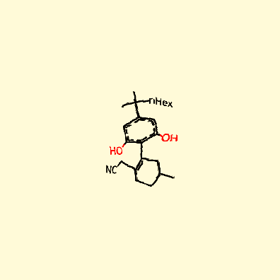 CCCCCCC(C)(C)c1cc(O)c(C2=C(CC#N)CCC(C)C2)c(O)c1